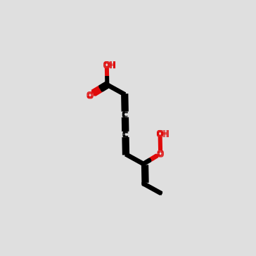 CC=C(C=C=C=CC(=O)O)OO